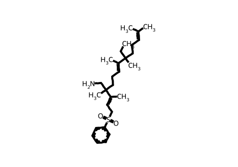 CCC(C)(CCC=C(C)C)/C(C)=C/CCC(C)(CN)/C(C)=C/CS(=O)(=O)c1ccccc1